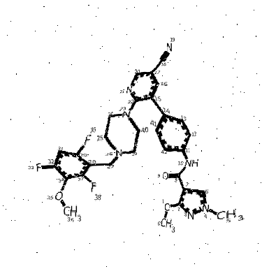 COc1nn(C)cc1C(=O)Nc1ccc(-c2cc(C#N)cnc2N2CCN(Cc3c(F)cc(F)c(OC)c3F)CC2)cc1